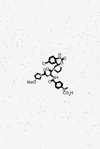 CO[C@@H]1CCN(C(=O)C[C@H](NC(=O)c2ccc(N(C)C(=O)O)cc2)C(=O)N2CCC[C@@]3(C2)OC(=O)Nc2ccc(Cl)cc23)C1